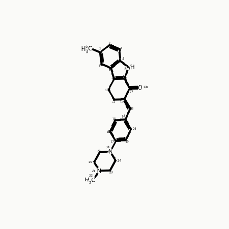 Cc1ccc2[nH]c3c(c2c1)CC/C(=C\c1ccc(N2CCN(C)CC2)cc1)C3=O